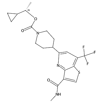 CNC(=O)c1csc2c(C(F)(F)F)cc(C3CCN(C(=O)O[C@@H](C)C4CC4)CC3)nc12